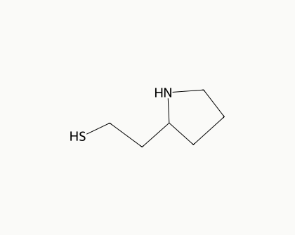 SCCC1CCCN1